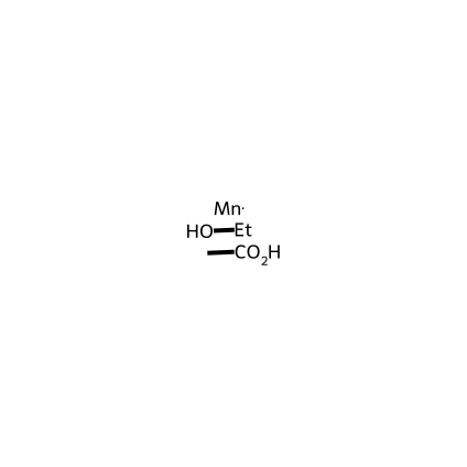 CC(=O)O.CCO.[Mn]